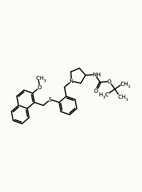 COc1ccc2ccccc2c1CSc1ccccc1CN1CCC(NC(=O)OC(C)(C)C)C1